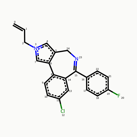 C=CCn1cc2c(c1)-c1ccc(Cl)cc1C(c1ccc(F)cc1)=NC2